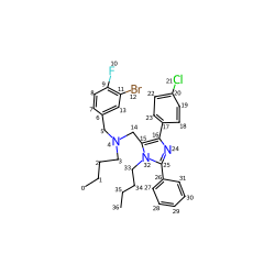 CCCCN(Cc1ccc(F)c(Br)c1)Cc1c(-c2ccc(Cl)cc2)nc(-c2ccccc2)n1CCCC